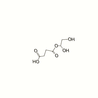 O=C(O)CCC(=O)OC(O)CO